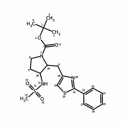 CC(C)(C)OC(=O)N1CCC(NS(C)(=O)=O)C1Cc1csc(-c2ccccc2)n1